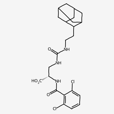 O=C(NCCC1C2CC3CC(C2)CC1C3)NC[C@H](NC(=O)c1c(Cl)cccc1Cl)C(=O)O